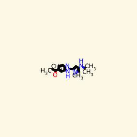 CC(C)Nc1cc(-c2nc3ccc(C(=O)C(C)C)cc3[nH]2)n(C)c1